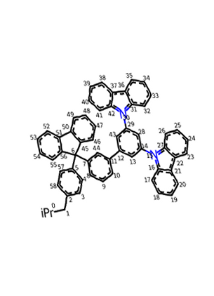 CC(C)Cc1ccc(C2(c3cccc(-c4cc(-n5c6ccccc6c6ccccc65)cc(-n5c6ccccc6c6ccccc65)c4)c3)c3ccccc3-c3ccccc32)cc1